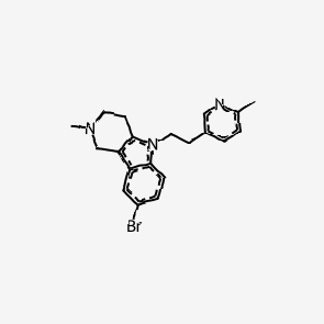 Cc1ccc(CCn2c3c(c4cc(Br)ccc42)CN(C)CC3)cn1